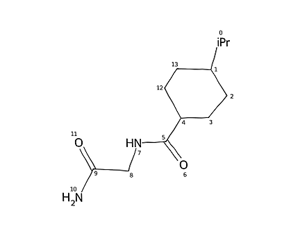 CC(C)C1CCC(C(=O)NCC(N)=O)CC1